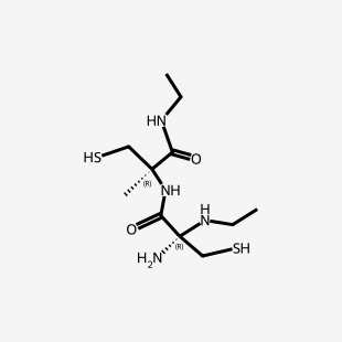 CCNC(=O)[C@](C)(CS)NC(=O)[C@](N)(CS)NCC